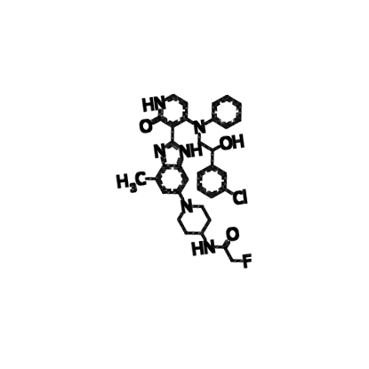 Cc1cc(N2CCC(NC(=O)CF)CC2)cc2[nH]c(-c3c(N(CC(O)c4cccc(Cl)c4)c4ccccc4)cc[nH]c3=O)nc12